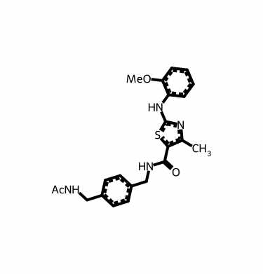 COc1ccccc1Nc1nc(C)c(C(=O)NCc2ccc(CNC(C)=O)cc2)s1